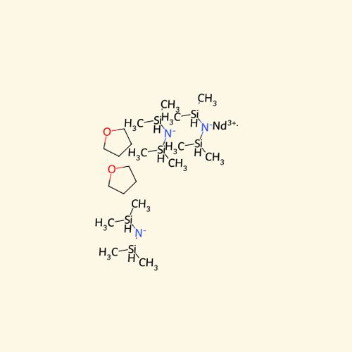 C1CCOC1.C1CCOC1.C[SiH](C)[N-][SiH](C)C.C[SiH](C)[N-][SiH](C)C.C[SiH](C)[N-][SiH](C)C.[Nd+3]